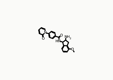 COc1cccc2c1CC(N)C2NC(=O)c1ccc(-n2ccccc2=O)cc1